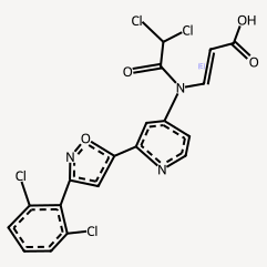 O=C(O)/C=C/N(C(=O)C(Cl)Cl)c1ccnc(-c2cc(-c3c(Cl)cccc3Cl)no2)c1